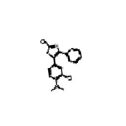 CN(C)c1ccc(-c2sc(Cl)nc2-c2ccccc2)cc1Cl